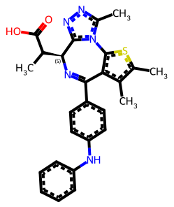 Cc1sc2c(c1C)C(c1ccc(Nc3ccccc3)cc1)=N[C@@H](C(C)C(=O)O)c1nnc(C)n1-2